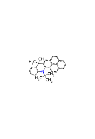 CC1(C)c2ccccc2N(C(C)(C)C)c2c1cc1ccc3cccc4ccc2c1c34